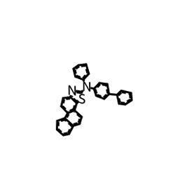 c1ccc(-c2ccc(N(c3ccccc3)c3nc4ccc5c6ccccc6ccc5c4s3)cc2)cc1